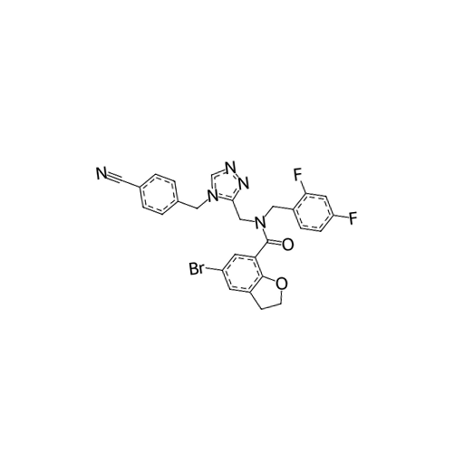 N#Cc1ccc(Cn2cnnc2CN(Cc2ccc(F)cc2F)C(=O)c2cc(Br)cc3c2OCC3)cc1